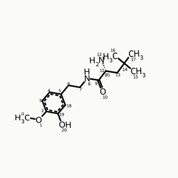 COc1ccc(CCNC(=O)[C@H](N)CC(C)(C)C)cc1O